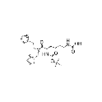 CC(C)(C)OC(=O)N[C@H](CCCCNC(=O)O)C(=O)N(CCc1cccs1)Cc1cccs1